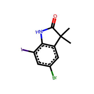 CC1(C)C(=O)Nc2c(I)cc(Br)cc21